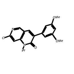 COc1cc(OC)cc(-c2cc3cnc(Cl)cc3n(C(C)C)c2=O)c1